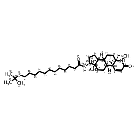 CN1C(=O)C=C[C@]2(C)[C@H]3CC[C@]4(C)[C@@H](NC(=O)CCCCCCCCCCCSC(C)(C)C)CC[C@H]4[C@@H]3CC[C@@H]12